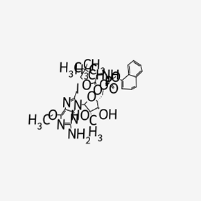 COc1nc(N)nc2c1nc(I)n2C1O[C@H](CO[P@](=O)(N[C@@H](C)C(=O)OCC(C)(C)C)Oc2cccc3ccccc23)[C@@H](O)[C@@]1(C)O